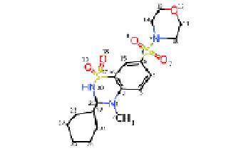 CN1c2ccc(S(=O)(=O)N3CCOCC3)cc2S(=O)(=O)NC1C1CCCCC1